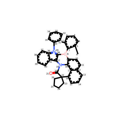 Cc1cccc(C)c1B1c2ccc3cccc4c3c2N(C(=O)C42CCCC2)c2c1n(-c1ccccc1)c1ccccc21